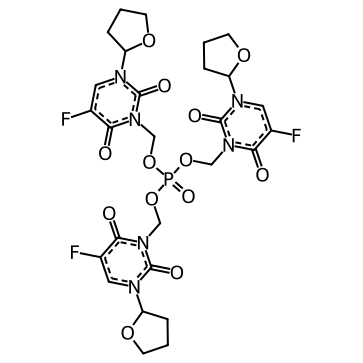 O=c1c(F)cn(C2CCCO2)c(=O)n1COP(=O)(OCn1c(=O)c(F)cn(C2CCCO2)c1=O)OCn1c(=O)c(F)cn(C2CCCO2)c1=O